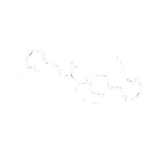 N#Cc1nccnc1N1CCN2[C@H](CC[C@H]2c2cc(-c3cccc(Cl)c3)on2)C1